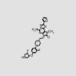 Cn1c(=O)n(CCN2CCN(c3ccc(O[C@@H]4CNC[C@@H]4F)cc3F)CC2)c2nc(N)n3nc(-c4ccco4)nc3c21